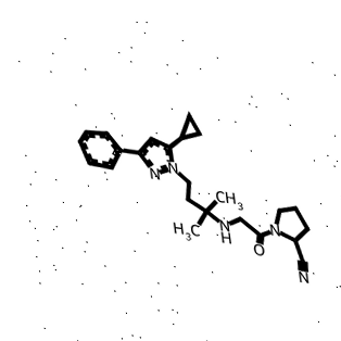 CC(C)(CCn1nc(-c2ccccc2)cc1C1CC1)NCC(=O)N1CCCC1C#N